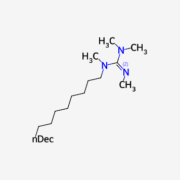 CCCCCCCCCCCCCCCCCCN(C)/C(=N\C)N(C)C